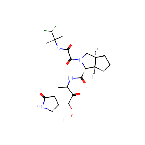 CC(C)(NC(=O)C(=O)N1C[C@@H]2CCC[C@@H]2[C@H]1C(=O)NC(C[C@@H]1CCNC1=O)C(=O)COC(F)(F)F)C(F)F